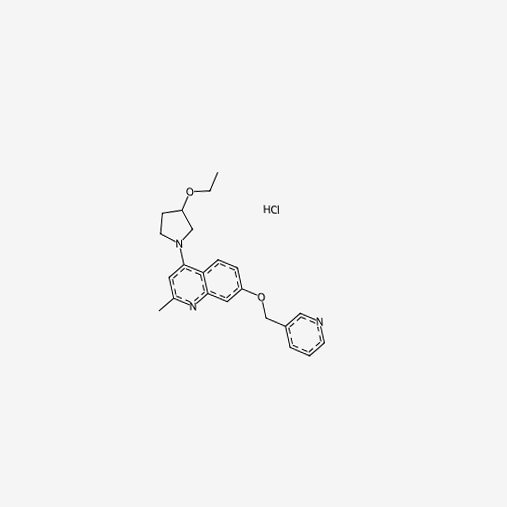 CCOC1CCN(c2cc(C)nc3cc(OCc4cccnc4)ccc23)C1.Cl